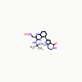 CC(C)(C)Nc1nc2c(-c3cc4c([nH]3)CCNC4=O)cccc2nc1/C=N/O